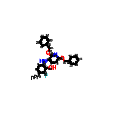 CCCc1ccc(Nc2ccc(OCc3ccccc3)nc2OCc2ccccc2)c(O)c1F